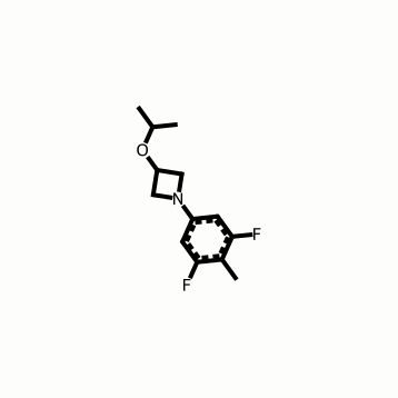 Cc1c(F)cc(N2CC(OC(C)C)C2)cc1F